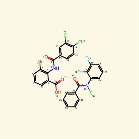 O=C(Nc1c(Br)cccc1C(=O)O)c1ccc(Cl)c(Cl)c1.O=C(c1ccccc1)N(Cl)c1cccc(F)c1F